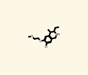 CCC1NCc2cc(Cl)c(OCCOC)cc2C1C